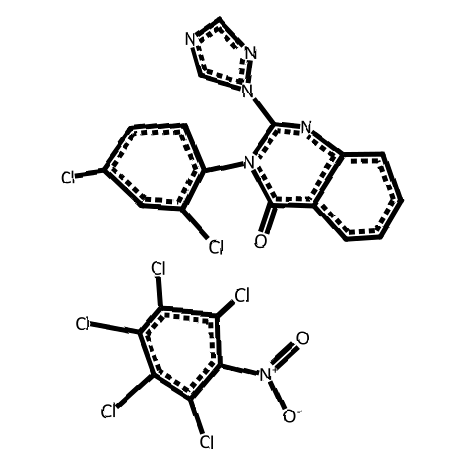 O=[N+]([O-])c1c(Cl)c(Cl)c(Cl)c(Cl)c1Cl.O=c1c2ccccc2nc(-n2cncn2)n1-c1ccc(Cl)cc1Cl